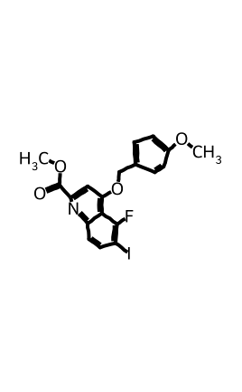 COC(=O)c1cc(OCc2ccc(OC)cc2)c2c(F)c(I)ccc2n1